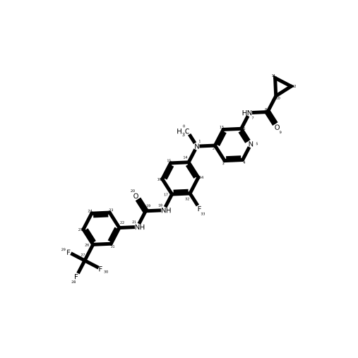 CN(c1ccnc(NC(=O)C2CC2)c1)c1ccc(NC(=O)Nc2cccc(C(F)(F)F)c2)c(F)c1